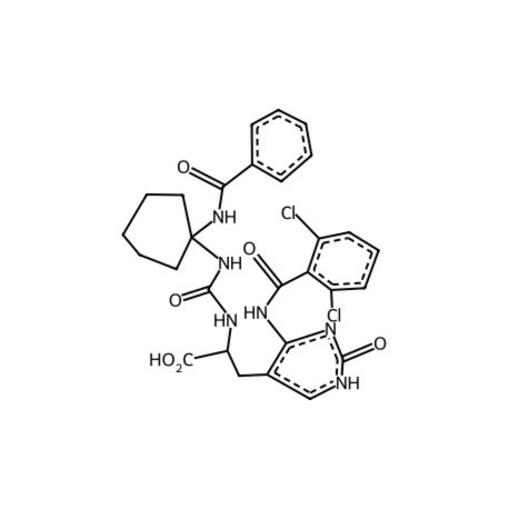 O=C(NC(Cc1c[nH]c(=O)nc1NC(=O)c1c(Cl)cccc1Cl)C(=O)O)NC1(NC(=O)c2ccccc2)CCCCC1